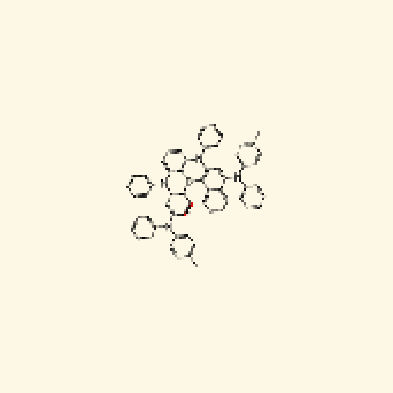 Cc1ccc(N(c2ccccc2)c2cc3c(c4ccccc24)B2c4c(cccc4N(c4ccccc4)c4cc(N(c5ccccc5)c5ccc(C)cc5)c5ccccc5c42)N3c2ccccc2)cc1